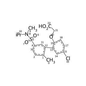 Cc1ccc(S(=O)(=O)N(C)C(C)C)cc1-c1cc(Cl)ccc1OCC(=O)O